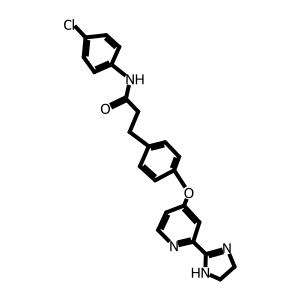 O=C(CCc1ccc(Oc2ccnc(C3=NCCN3)c2)cc1)Nc1ccc(Cl)cc1